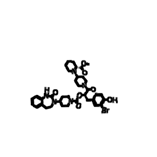 COC(=O)[C@H]1CCCCN1C1CCN(C(=O)[C@@H](Cc2ccc(O)c(Br)c2)OC(=O)N2CCC(N3CCc4ccccc4NC3=O)CC2)CC1